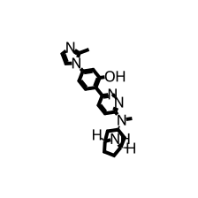 Cc1nccn1-c1ccc(-c2ccc(N(C)[C@@H]3C[C@H]4CC[C@@H](C3)N4)nn2)c(O)c1